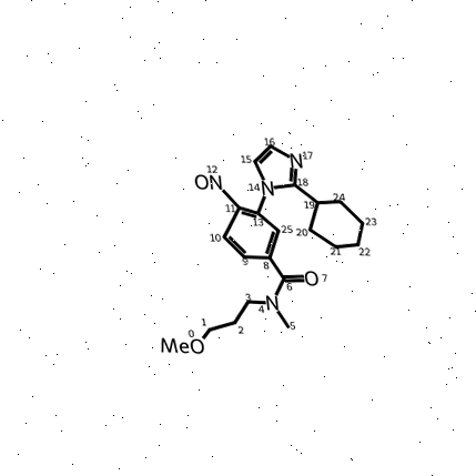 COCCCN(C)C(=O)c1ccc(N=O)c(-n2ccnc2C2CCCCC2)c1